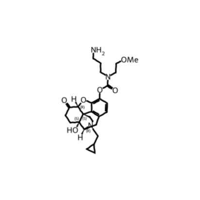 COCCN(CCCN)C(=O)Oc1ccc2c3c1O[C@H]1C(=O)CC[C@@]4(O)[C@@H](C2)N(CC2CC2)CC[C@]314